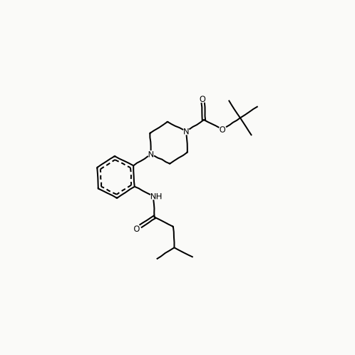 CC(C)CC(=O)Nc1ccccc1N1CCN(C(=O)OC(C)(C)C)CC1